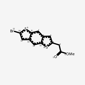 COC(=O)Cc1cc2cc3sc(Br)cc3cc2s1